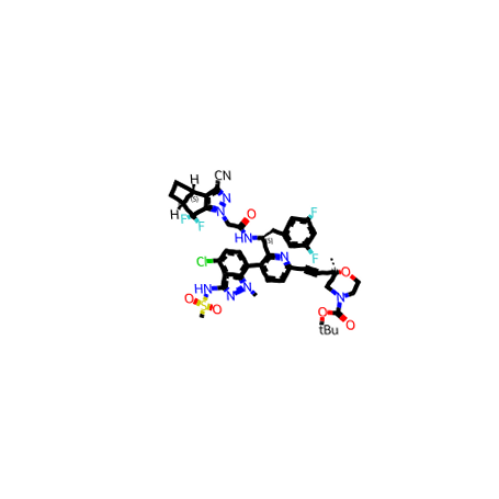 Cn1nc(NS(C)(=O)=O)c2c(Cl)ccc(-c3ccc(C#C[C@]4(C)CN(C(=O)OC(C)(C)C)CCO4)nc3[C@H](Cc3cc(F)cc(F)c3)NC(=O)Cn3nc(C#N)c4c3C(F)(F)[C@@H]3CC[C@H]43)c21